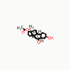 CC(=O)OC1CC[C@H]2[C@@H]3CC(=O)[C@H]4CC(O)CC[C@]4(C)[C@H]3CC[C@]12C